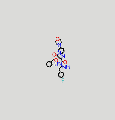 N=C(Cc1ccc(F)cc1)NC(=O)c1nc2ccc(N3CCOCC3)cn2c(=O)c1OCc1ccccc1